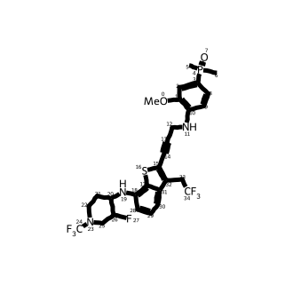 COc1cc(P(C)(C)=O)ccc1NCC#Cc1sc2c(NC3CCN(C(F)(F)F)CC3F)cccc2c1CC(F)(F)F